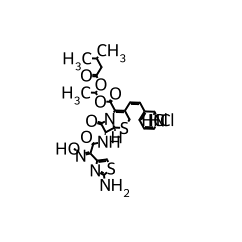 CC(C)CC(=O)OC(C)OC(=O)C1=C(/C=C\c2cccnc2)CS[C@@H]2[C@H](NC(=O)/C(=N\O)c3csc(N)n3)C(=O)N12.Cl.Cl